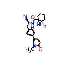 Cn1cc(-c2ccc(C[C@@H](C#N)NC(=O)C3(N)CCCCC3)cc2)ccc1=O